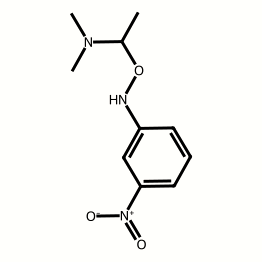 CC(ONc1cccc([N+](=O)[O-])c1)N(C)C